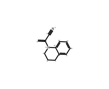 C=C(C#N)N1CCCc2ccccc21